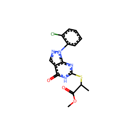 COC(=O)C(C)Sc1nc2c(cnn2-c2ccccc2Cl)c(=O)[nH]1